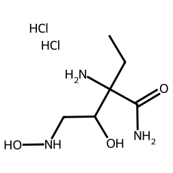 CCC(N)(C(N)=O)C(O)CNO.Cl.Cl